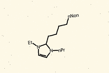 CCCCCCCCCCCCCC1N(CC)C=CN1CCC